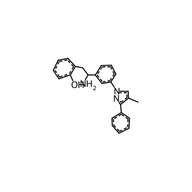 Cc1cn(-c2cccc(C(N)Cc3ccccc3O)c2)nc1-c1ccccc1